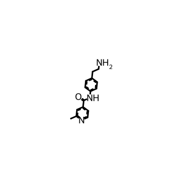 Cc1cc(C(=O)Nc2ccc(CCN)cc2)ccn1